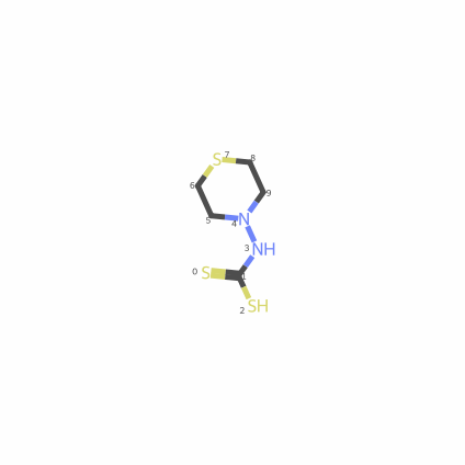 S=C(S)NN1CCSCC1